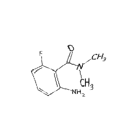 CN(C)C(=O)c1c(N)cccc1F